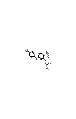 COC(=O)CSc1nc(Sc2ccc(Cl)cc2)ncc1[N+](=O)[O-]